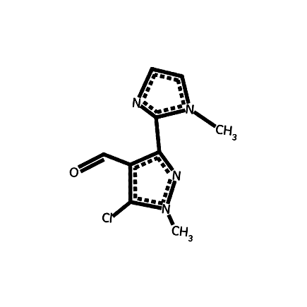 Cn1ccnc1-c1nn(C)c(Cl)c1C=O